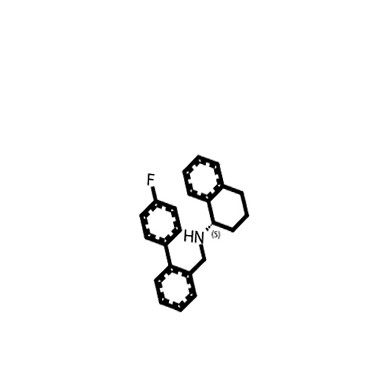 Fc1ccc(-c2ccccc2CN[C@H]2CCCc3ccccc32)cc1